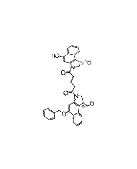 O=C(CCCC(=O)N1C[C@@H](CCl)c2c1cc(OCc1ccccc1)c1ccccc21)N1C[C@@H](CCl)c2c1cc(O)c1ccccc21